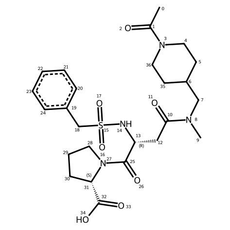 CC(=O)N1CCC(CN(C)C(=O)C[C@@H](NS(=O)(=O)Cc2ccccc2)C(=O)N2CCC[C@H]2C(=O)O)CC1